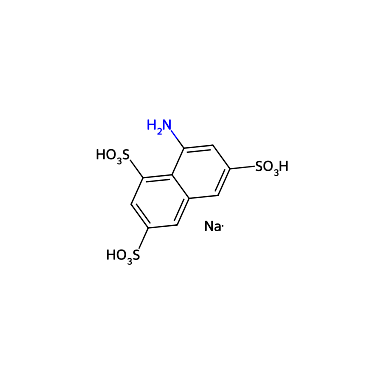 Nc1cc(S(=O)(=O)O)cc2cc(S(=O)(=O)O)cc(S(=O)(=O)O)c12.[Na]